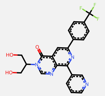 O=c1c2cc(-c3ccc(C(F)(F)F)cc3)nc(-c3cccnc3)c2ncn1C(CO)CO